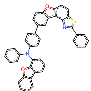 c1ccc(-c2nc3c(ccc4oc5ccc(-c6ccc(N(c7ccccc7)c7cccc8c7oc7ccccc78)cc6)cc5c43)s2)cc1